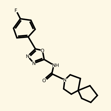 O=C(Nc1nnc(-c2ccc(F)cc2)o1)N1CCC2(CCCC2)CC1